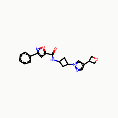 O=C(NC1CC(n2cc(C3COC3)cn2)C1)c1cc(-c2ccccc2)no1